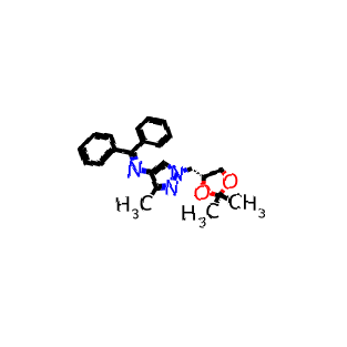 Cc1nn(C[C@@H]2COC(C)(C)O2)cc1N=C(c1ccccc1)c1ccccc1